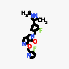 Cc1nn(C)cc1-c1ccc(CN2Cc3ccnc(OCc4ncccc4F)c3C2=O)c(F)c1